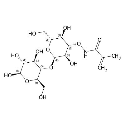 C=C(C)C(=O)NO[C@@H]1[C@@H](O)[C@@H](O[C@H]2[C@H](O)[C@@H](O)[C@H](O)O[C@@H]2CO)O[C@H](CO)[C@H]1O